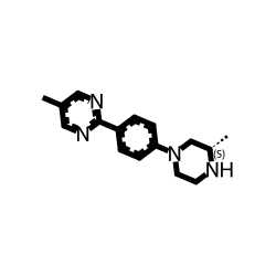 Cc1cnc(-c2ccc(N3CCN[C@@H](C)C3)cc2)nc1